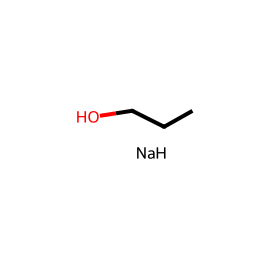 CCCO.[NaH]